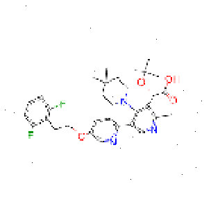 Cc1ncc(-c2ccc(OCCc3c(F)cccc3F)cn2)c(N2CCC(C)(C)CC2)c1[C@H](OC(C)(C)C)C(=O)O